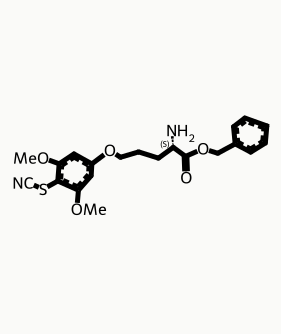 COc1cc(OCCC[C@H](N)C(=O)OCc2ccccc2)cc(OC)c1SC#N